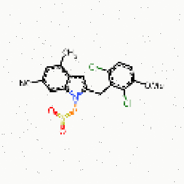 COc1ccc(Cl)c(Cc2cc3c(C)cc(C#N)cc3n2P=S(=O)=O)c1Cl